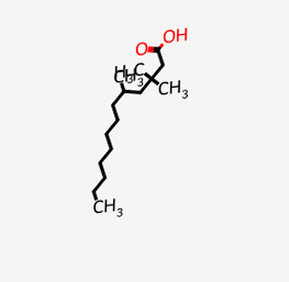 CCCCCCCCC(C)CC(C)(C)CC(=O)O